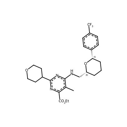 CCOC(=O)c1nc(C2CCOCC2)nc(NC[C@H]2CCC[C@@H](c3ccc(C(F)(F)F)cc3)O2)c1C